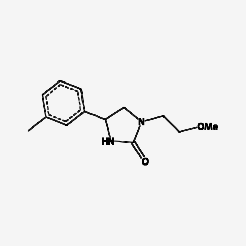 COCCN1CC(c2cccc(C)c2)NC1=O